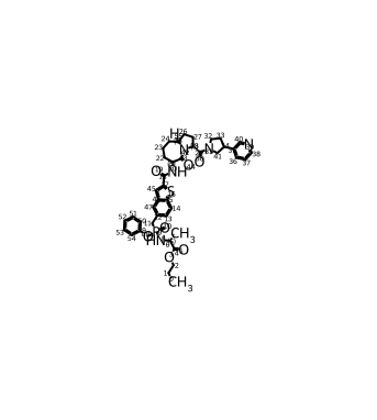 CCCOC(=O)[C@H](C)NP(=O)(Cc1ccc2sc(C(=O)N[C@H]3CCC[C@H]4CC[C@@H](C(=O)N5CCC(c6cccnc6)C5)N4C3=O)cc2c1)Oc1ccccc1